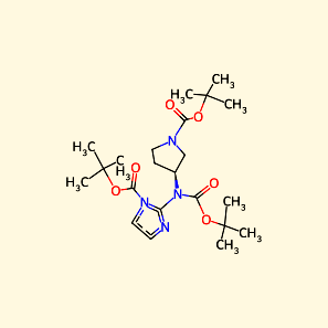 CC(C)(C)OC(=O)N1CC[C@H](N(C(=O)OC(C)(C)C)c2nccn2C(=O)OC(C)(C)C)C1